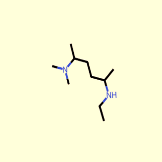 CCNC(C)CCC(C)N(C)C